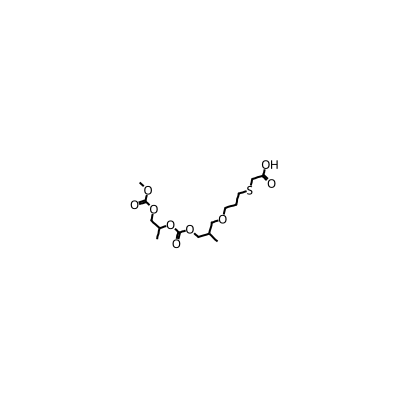 COC(=O)OCC(C)OC(=O)OCC(C)COCCCSCC(=O)O